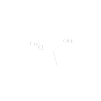 CCO.[Cl-].[Cu+]